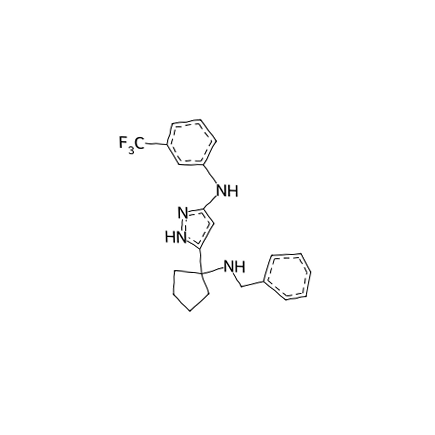 FC(F)(F)c1cccc(Nc2cc(C3(NCc4ccccc4)CCCC3)[nH]n2)c1